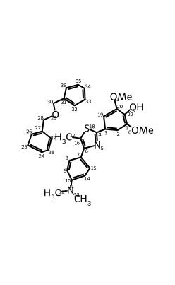 COc1cc(-c2nc(-c3ccc(N(C)C)cc3)c(C)s2)cc(OC)c1O.c1ccc(COCc2ccccc2)cc1